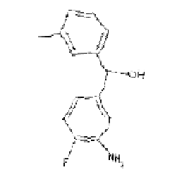 Cc1cccc(C(O)c2ccc(F)c(N)c2)c1